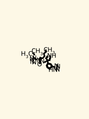 CCCCc1cn(-c2nnnn2CC(C)C)c(=O)n1CC1(c2cccc(-c3nnn[nH]3)c2)C=CNC=C1